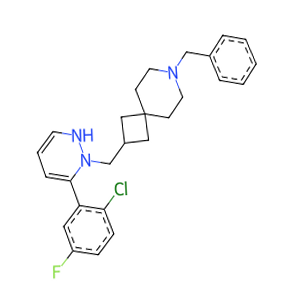 Fc1ccc(Cl)c(C2=CC=CNN2CC2CC3(CCN(Cc4ccccc4)CC3)C2)c1